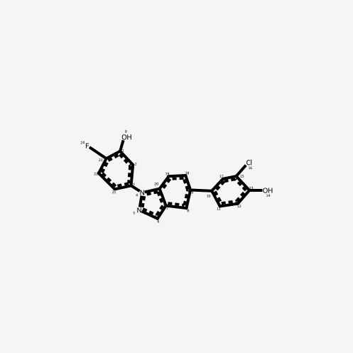 Oc1cc(-n2ncc3cc(-c4ccc(O)c(Cl)c4)ccc32)ccc1F